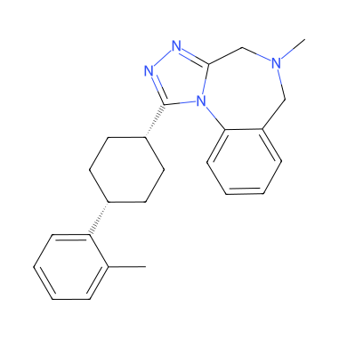 Cc1ccccc1[C@H]1CC[C@@H](c2nnc3n2-c2ccccc2CN(C)C3)CC1